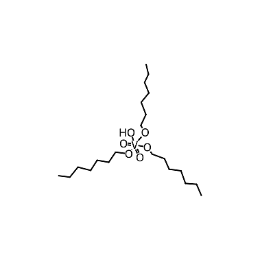 CCCCCCC[O][V](=[O])(=[O])([OH])([O]CCCCCCC)[O]CCCCCCC